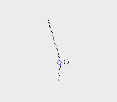 CCCCCCCCCCCCCCCCCCCN1C=CN(CCCCCCCC)C1c1ccccc1